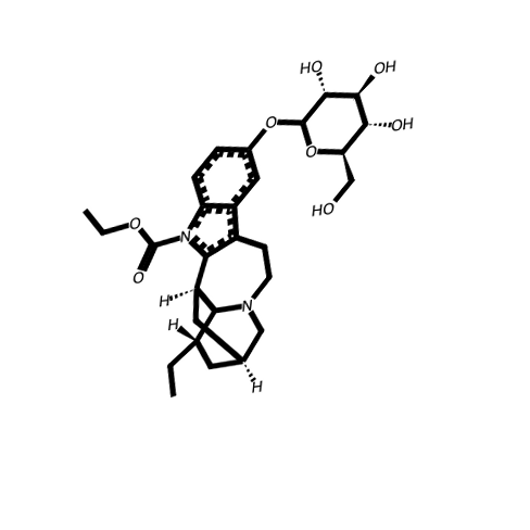 CCOC(=O)n1c2c(c3cc(OC4O[C@H](CO)[C@@H](O)[C@H](O)[C@H]4O)ccc31)CCN1C[C@H]3C[C@H](CC)C1[C@H]2C3